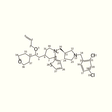 C=CCOC(CC1CCN(C[C@H]2CN(Cc3ccc(Cl)cc3Cl)C[C@@H]2c2ccsc2)CC1)C1CCOCC1